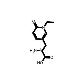 CCn1cc(C[C@H](N)C(=O)O)ccc1=O